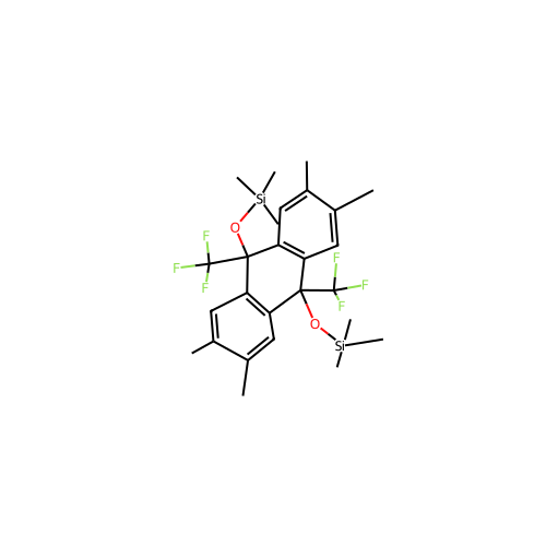 Cc1cc2c(cc1C)C(O[Si](C)(C)C)(C(F)(F)F)c1cc(C)c(C)cc1C2(O[Si](C)(C)C)C(F)(F)F